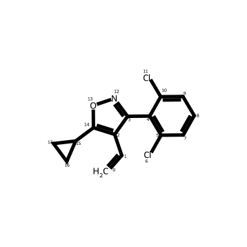 C=Cc1c(-c2c(Cl)cccc2Cl)noc1C1CC1